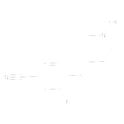 CN1CCC(Oc2ccc(C#N)cc2F)CC1